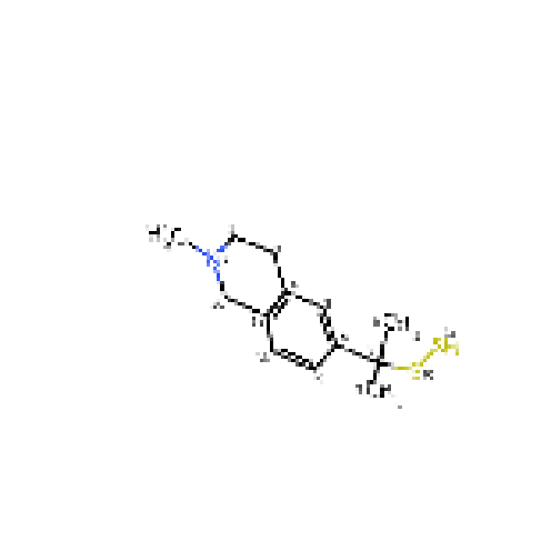 CN1CCc2cc(C(C)(C)SS)ccc2C1